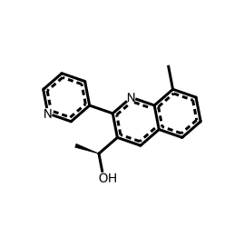 Cc1cccc2cc([C@H](C)O)c(-c3cccnc3)nc12